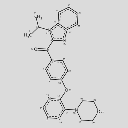 CC(C)n1c(C(=O)c2ccc(Oc3nccnc3N3CCOCC3)cc2)nc2ccccc21